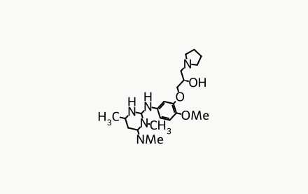 CNC1CC(C)NC(Nc2ccc(OC)c(OC[C@H](O)CN3CCCC3)c2)N1C